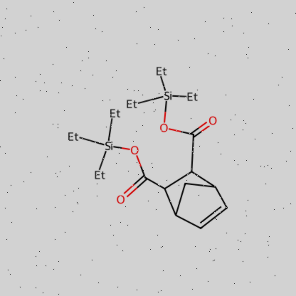 CC[Si](CC)(CC)OC(=O)C1C2C=CC(C2)C1C(=O)O[Si](CC)(CC)CC